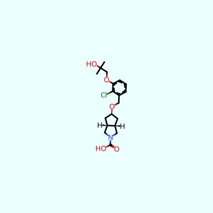 CC(C)(O)COc1cccc(CO[C@H]2C[C@@H]3CN(C(=O)O)C[C@@H]3C2)c1Cl